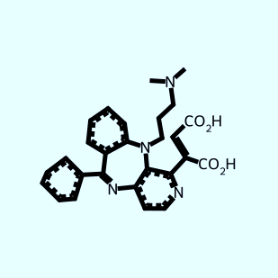 CN(C)CCCN1c2ccccc2C(c2ccccc2)=Nc2ccnc(C(=CC(=O)O)C(=O)O)c21